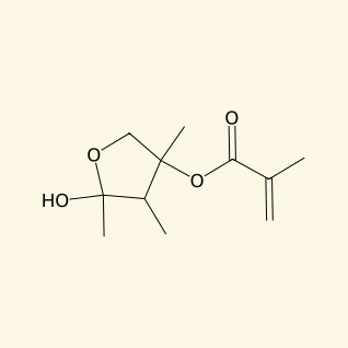 C=C(C)C(=O)OC1(C)COC(C)(O)C1C